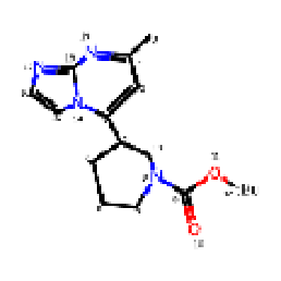 Cc1cc(C2CCCN(C(=O)OC(C)(C)C)C2)n2ccnc2n1